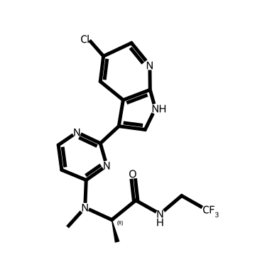 C[C@H](C(=O)NCC(F)(F)F)N(C)c1ccnc(-c2c[nH]c3ncc(Cl)cc23)n1